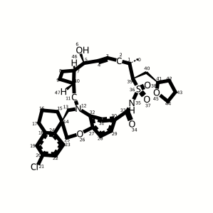 C[C@H]1C/C=C/[C@H](O)[C@@H]2CC[C@H]2CN2C[C@@]3(CCCc4cc(Cl)ccc43)COc3ccc(cc32)C(=O)NS(=O)(=O)[C@@H]1C[C@H]1CCCO1